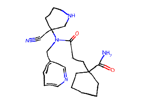 N#CC1(N(Cc2cccnc2)C(=O)[CH]CC2(C(N)=O)CCCCC2)CCNC1